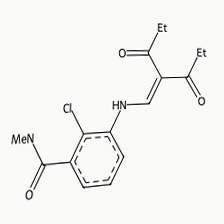 CCC(=O)C(=CNc1cccc(C(=O)NC)c1Cl)C(=O)CC